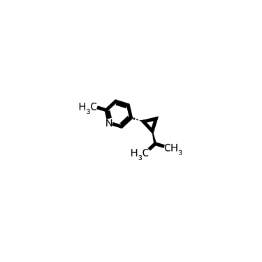 Cc1ccc([C@@H]2C[C@H]2C(C)C)cn1